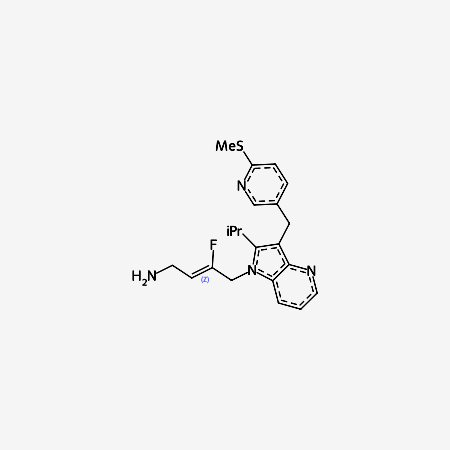 CSc1ccc(Cc2c(C(C)C)n(C/C(F)=C/CN)c3cccnc23)cn1